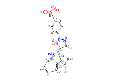 CC1=NN(c2ccc(C(=O)O)cc2)C(=O)C1=CNc1ccccc1C(F)(F)F